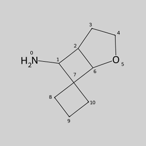 NC1C2CCOC2C12CCC2